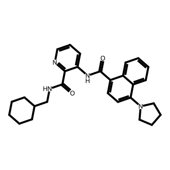 O=C(NCC1CCCCC1)c1ncccc1NC(=O)c1ccc(N2CCCC2)c2ccccc12